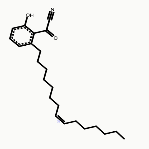 CCCCCC/C=C\CCCCCCCc1cccc(O)c1C(=O)C#N